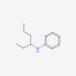 C[CH]C(CCC)Nc1ccccc1